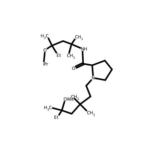 CCC(C)(CC(C)(C)CCN1CCCC1C(=O)NC(C)(C)CC(C)(CC)OC(C)C)OC